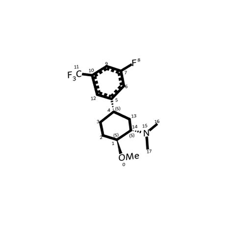 CO[C@H]1CC[C@H](c2cc(F)cc(C(F)(F)F)c2)C[C@@H]1N(C)C